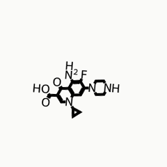 Nc1c(F)c(N2CCNCC2)cc2c1c(=O)c(C(=O)O)cn2C1CC1